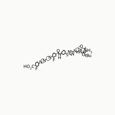 C[C@@H]([SiH3])C1OCC2(CCN(c3cnc(Sc4cccc(NC(=O)c5ccc(N6CCC(N7CCN(c8ccc(C(=O)O)c(F)c8)CC7)CC6)c(F)c5)c4)cn3)CC2)[C@@H]1NC(=O)OC(C)(C)C